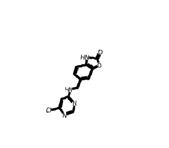 O=c1[nH]c2ccc(CNc3cc(Cl)ncn3)cc2o1